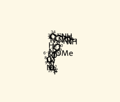 CO[C@]1(C(=O)N[C@@H](C)c2ccc(-n3cc(F)cn3)nn2)CC[C@@H](c2nc(Nc3cc(C)[nH]n3)cc3cccnc32)CC1